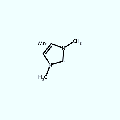 CN1[CH]N(C)C=C1.[Mn]